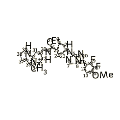 CCc1cc(Nc2nccn3c(-c4ccc(OC)c(F)c4F)cnc23)ccc1C(=O)NCC1CC[N+](C)(CC2CCCN2)CC1